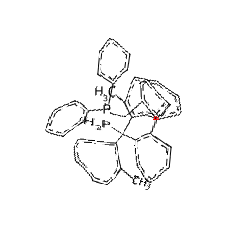 Cc1ccccc1C(P)(c1ccccc1C)c1ccccc1-c1ccccc1CP(c1ccccc1)c1ccccc1